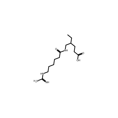 CCC(CCC(=O)O)CNC(=O)CCCCCNC(=N)N